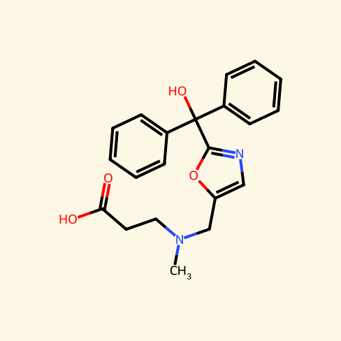 CN(CCC(=O)O)Cc1cnc(C(O)(c2ccccc2)c2ccccc2)o1